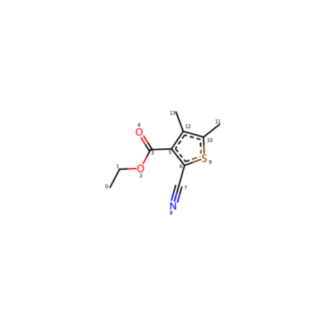 CCOC(=O)c1c(C#N)sc(C)c1C